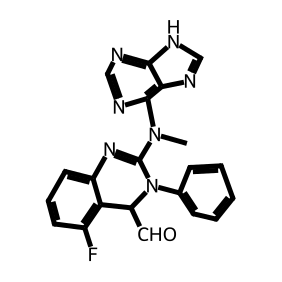 CN(C1=Nc2cccc(F)c2C(C=O)N1c1ccccc1)c1ncnc2[nH]cnc12